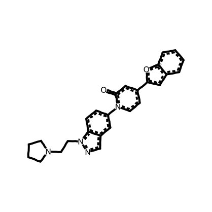 O=c1cc(-c2cc3ccccc3o2)ccn1-c1ccc2c(cnn2CCN2CCCC2)c1